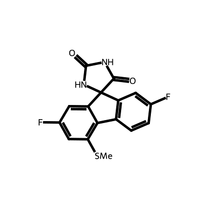 CSc1cc(F)cc2c1-c1ccc(F)cc1C21NC(=O)NC1=O